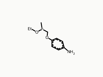 CCOP(C)COc1ccc(N)cc1